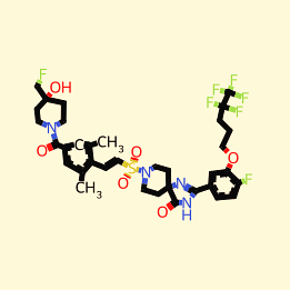 Cc1cc(C(=O)N2CCC(O)(CF)CC2)cc(C)c1C=CS(=O)(=O)N1CCC2(CC1)N=C(c1ccc(F)c(OCCCC(F)(F)C(F)(F)F)c1)NC2=O